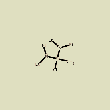 CCN(CC)S(C)(Cl)N(CC)CC